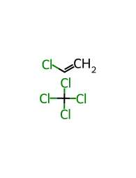 C=CCl.ClC(Cl)(Cl)Cl